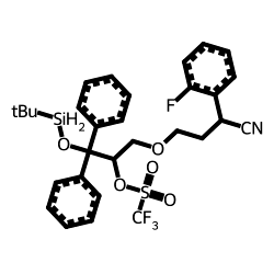 CC(C)(C)[SiH2]OC(c1ccccc1)(c1ccccc1)C(COCCC(C#N)c1ccccc1F)OS(=O)(=O)C(F)(F)F